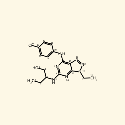 CCC(CO)Nc1nc(Nc2ccc(Cl)cc2)c2nnn(CC)c2n1